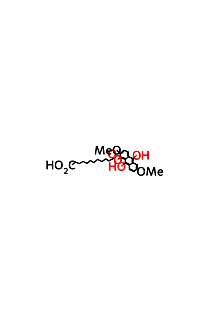 COc1ccc2c(O)c3c(OC(=O)CCCCCCCCCCC(=O)O)c(OC)ccc3c(O)c2c1